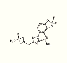 CC1(F)CN(Cc2nc3c4ccc5c(c4nc(N)n3n2)OC(F)(F)O5)C1